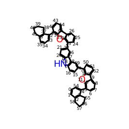 c1cc2c(c(-c3cccc4c3oc3c(-c5ccc6[nH]c7ccc(-c8cccc9c8oc8c(-c%10cccc%11c%10CCCC%11)cccc89)cc7c6c5)cccc34)c1)CCCC2